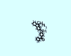 CC1(C)c2ccccc2-c2ccc(Nc3ccc(C(=O)c4ccccc4)cc3)cc21